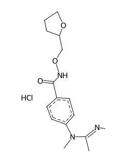 CN=C(C)N(C)c1ccc(C(=O)NOCC2CCCO2)cc1.Cl